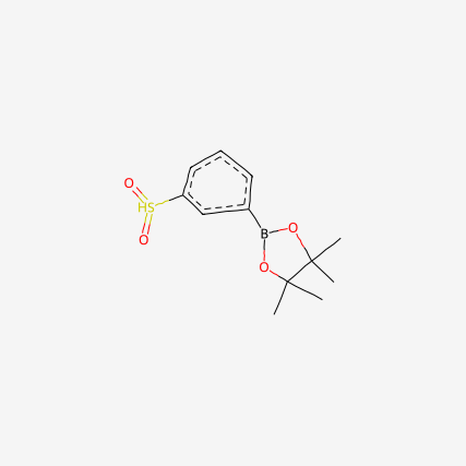 CC1(C)OB(c2cccc([SH](=O)=O)c2)OC1(C)C